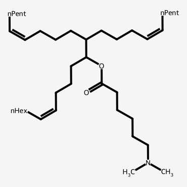 CCCCC/C=C\CCCC(CCC/C=C\CCCCC)C(CCC/C=C\CCCCCC)OC(=O)CCCCCN(C)C